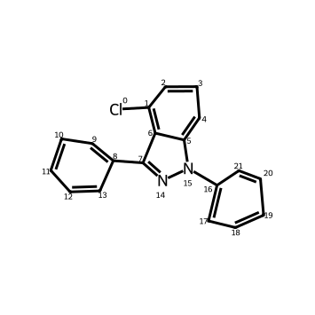 Clc1cccc2c1c(-c1ccccc1)nn2-c1ccccc1